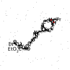 CCOC(=O)C(CC(C)C(=O)OCC(=O)CC)CC(C)(C)C(=O)OCOCCOCCn1cc(CCC2C[C@H]3CCCCC[C@H]4CC(CC(C)C)C[C@@H](CCCCC[C@@H](C2)C3)C4)nn1